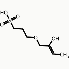 CC=C(O)COCCCS(=O)(=O)O